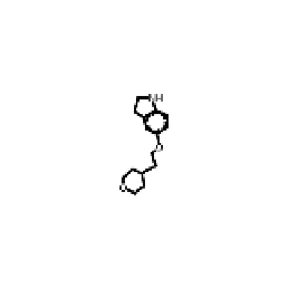 c1cc2c(cc1OCCC1CCOCC1)CCN2